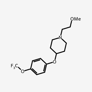 COCCN1CCC(Oc2ccc(OC(F)(F)F)cc2)CC1